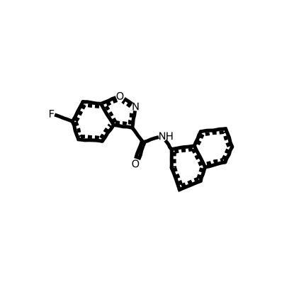 O=C(Nc1cccc2ccccc12)c1noc2cc(F)ccc12